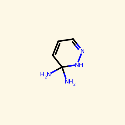 NC1(N)C=CC=NN1